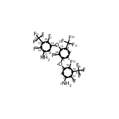 Nc1cc(Oc2ccc(C(F)(F)F)c(Oc3cc(N)c(F)c(C(F)(F)F)c3F)c2F)c(F)c(C(F)(F)F)c1F